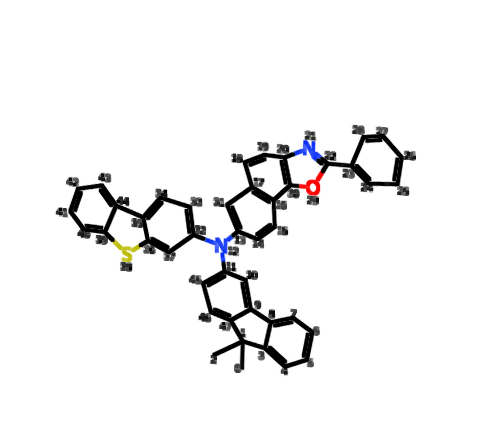 CC1(C)c2ccccc2-c2cc(N(c3ccc4c(ccc5nc(-c6ccccc6)oc54)c3)c3ccc4c(c3)sc3ccccc34)ccc21